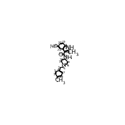 Cc1ccc(CCN2CCC(NC(=O)c3c(C)[nH]c4ccc(O)cc34)CC2)cc1